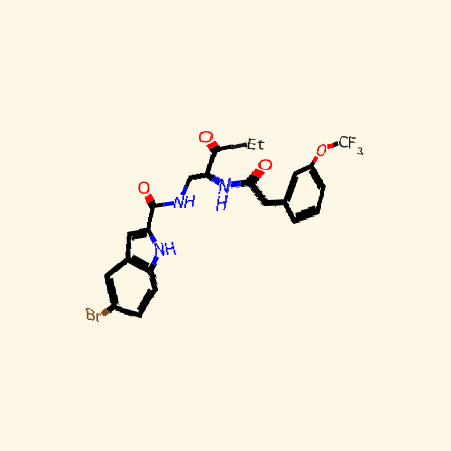 CCC(=O)C(CNC(=O)c1cc2cc(Br)ccc2[nH]1)NC(=O)Cc1cccc(OC(F)(F)F)c1